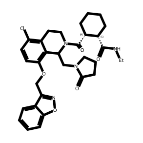 CCNC(=O)[C@H]1CCCC[C@H]1C(=O)N1CCc2c(Cl)ccc(OCc3noc4ccccc34)c2C1CN1CCCC1=O